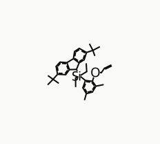 C=CCOc1c(C)cc(C)cc1[Si](CC)(CC)C1c2cc(C(C)(C)C)ccc2-c2ccc(C(C)(C)C)cc21